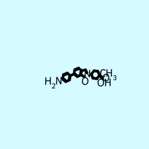 CC1(C(=O)O)CCC(N2Cc3ccc(-c4ccc(N)cc4)cc3C2=O)CC1